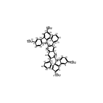 CC(C)(C)c1ccc2c(c1)c1cc(C(C)(C)C)ccc1n2-c1nc2cc(-c3ccccc3)c(-n3c4ccc(C(C)(C)C)cc4c4cc(C(C)(C)C)ccc43)nc2cc1-c1ccccc1